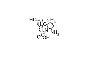 Cc1ccc(N)c(N)c1C.O=C(O)CCCCC(=O)O